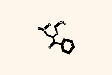 C=CSC(C[N+](=O)[O-])C(=O)c1ccccc1